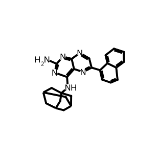 Nc1nc(NC23CC4CC(CC(C4)C2)C3)c2nc(-c3cccc4ccccc34)cnc2n1